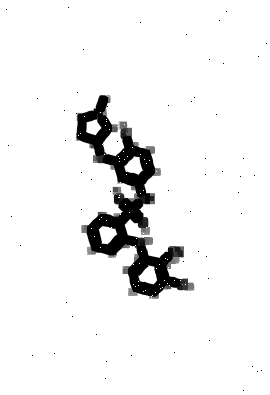 CN1CCC(Oc2cc(NS(=O)(=O)c3ccccc3Oc3cccc(Cl)c3C#N)ccc2Cl)C1